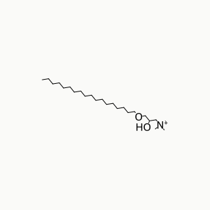 CCCCCCCCCCCCCCCCCCOCC(O)C[N+](C)(C)C